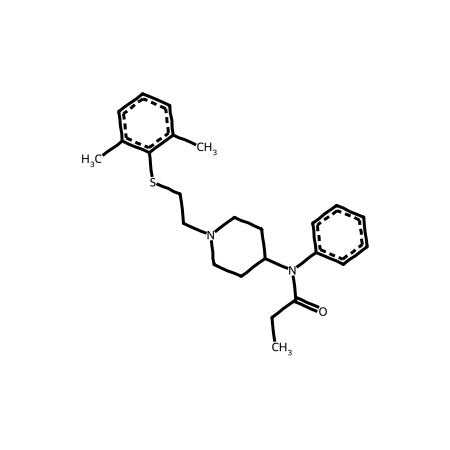 CCC(=O)N(c1ccccc1)C1CCN(CCSc2c(C)cccc2C)CC1